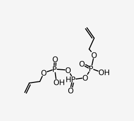 C=CCOP(=O)(O)O[PH](=O)OP(=O)(O)OCC=C